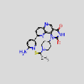 CC(=S)N1CCC(n2c(=O)[nH]c(=O)c3cnc4ccc(-c5ccc(N)nc5)nc4c32)CC1